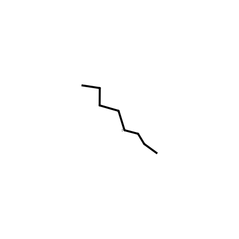 CCC[C]CCCC